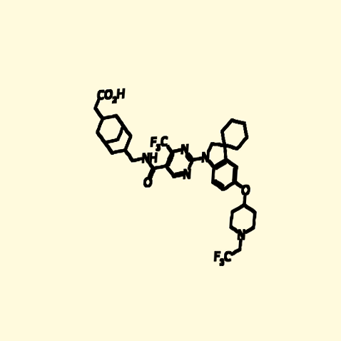 O=C(O)CC1CC2CC(CNC(=O)c3cnc(N4CC5(CCCCC5)c5cc(OC6CCN(CC(F)(F)F)CC6)ccc54)nc3C(F)(F)F)CC(C1)C2